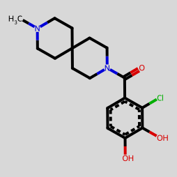 CN1CCC2(CC1)CCN(C(=O)c1ccc(O)c(O)c1Cl)CC2